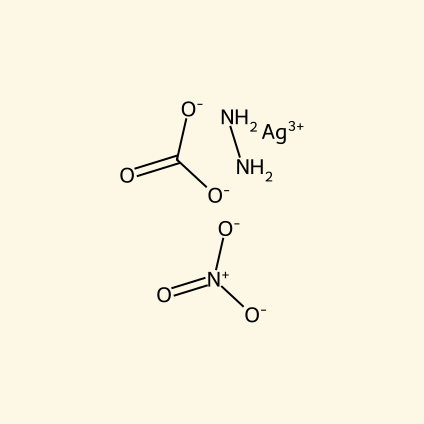 NN.O=C([O-])[O-].O=[N+]([O-])[O-].[Ag+3]